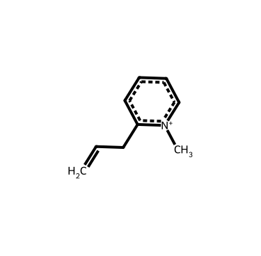 C=CCc1cccc[n+]1C